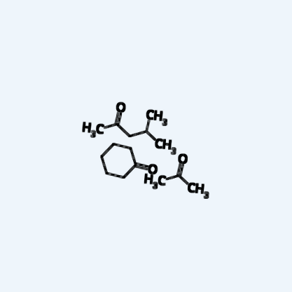 CC(=O)CC(C)C.CC(C)=O.O=C1CCCCC1